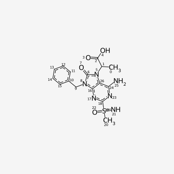 CC(C(=O)O)n1c(=O)n(Cc2ccccc2)c2nc(S(C)(=N)=O)nc(N)c21